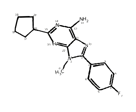 Cn1c(-c2ccc(F)cc2)nc2c(N)nc(C3CCCC3)nc21